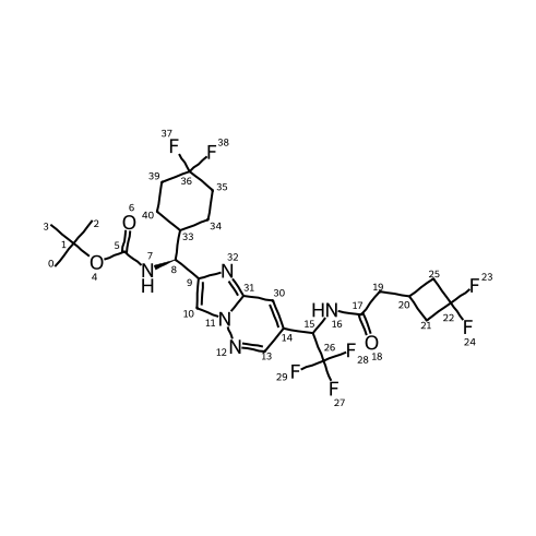 CC(C)(C)OC(=O)N[C@H](c1cn2ncc(C(NC(=O)CC3CC(F)(F)C3)C(F)(F)F)cc2n1)C1CCC(F)(F)CC1